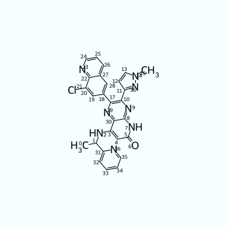 CC(Nc1cc(=O)[nH]c2nc(-c3ccn(C)n3)c(-c3cc(Cl)c4ncccc4c3)nc12)c1ccccn1